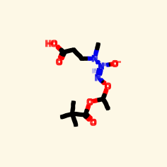 CC(O/N=[N+](\[O-])N(C)CCC(=O)O)OC(=O)C(C)(C)C